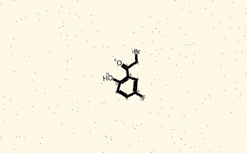 O=C(CBr)c1cc(F)ccc1O